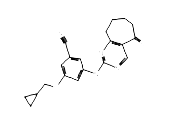 N#Cc1cc(Nc2ncc3c(n2)CCCCC3=O)cc(OCC2CC2)c1